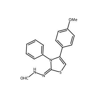 COc1ccc(-c2csc(=NNC=O)n2-c2ccccc2)cc1